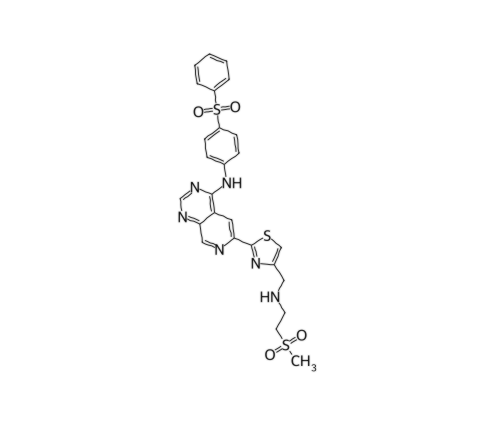 CS(=O)(=O)CCNCc1csc(-c2cc3c(Nc4ccc(S(=O)(=O)c5ccccc5)cc4)ncnc3cn2)n1